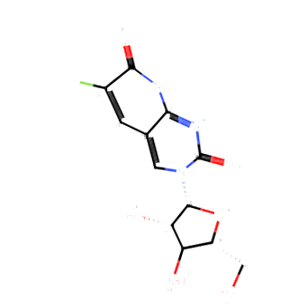 O=c1[nH]c2nc(=O)n([C@@H]3O[C@H](CO)C(O)[C@@H]3O)cc2cc1F